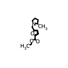 CCOC(=O)c1ccc(CN2CCCC2C)o1